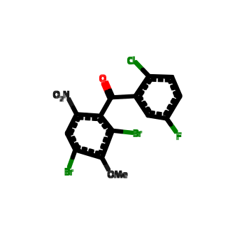 COc1c(Br)cc([N+](=O)[O-])c(C(=O)c2cc(F)ccc2Cl)c1Br